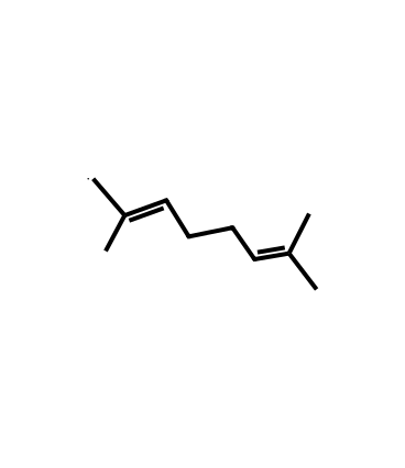 [CH2]C(C)=CCCC=C(C)C